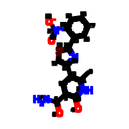 Cc1[nH]c(=O)c(C(N)=O)cc1-c1csc(-c2ccccc2[N+](=O)[O-])n1